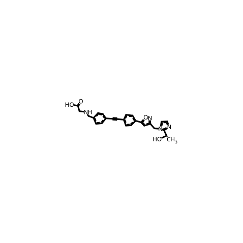 C[C@H](O)c1nccn1Cc1cc(-c2ccc(C#Cc3ccc(CNCC(=O)O)cc3)cc2)on1